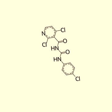 O=C(NC(=O)c1c(Cl)ccnc1Cl)Nc1ccc(Cl)cc1